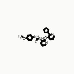 O=C(Nc1ccc(OC(F)(F)F)cc1)Nc1cccnc1Oc1cccnc1C1CCCC1